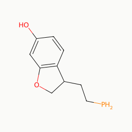 Oc1ccc2c(c1)OCC2CCP